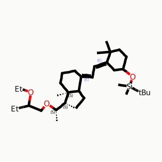 CCOC(CC)CO[C@@H](C)[C@H]1CCC2/C(=C/C=C3\CC(O[Si](C)(C)C(C)(C)C)CCC3(C)C)CCC[C@@]21C